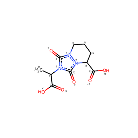 CC(C(=O)O)n1c(=O)n2n(c1=O)C(C(=O)O)CCC2